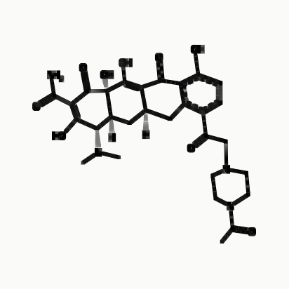 CC(=O)N1CCN(CC(=O)c2ccc(O)c3c2C[C@H]2C[C@H]4[C@H](N(C)C)C(O)=C(C(N)=O)C(=O)[C@@]4(O)C(O)=C2C3=O)CC1